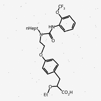 CCCCCCCN(CCOc1ccc(CC(OCC)C(=O)O)cc1)C(=O)Nc1ccccc1OC(F)(F)F